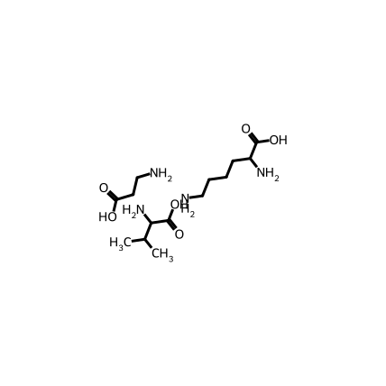 CC(C)C(N)C(=O)O.NCCC(=O)O.NCCCCC(N)C(=O)O